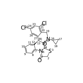 O=C1CSC(=O)N1c1ccccc1[C@@H]1CN(C2CC2)Cc2c(Cl)cc(Cl)cc21